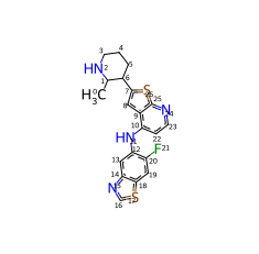 CC1NCCCC1c1cc2c(Nc3cc4ncsc4cc3F)ccnc2s1